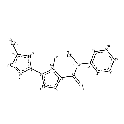 CCN(C(=O)c1cnc(-c2noc(C(F)(F)F)n2)n1C)c1cccnc1